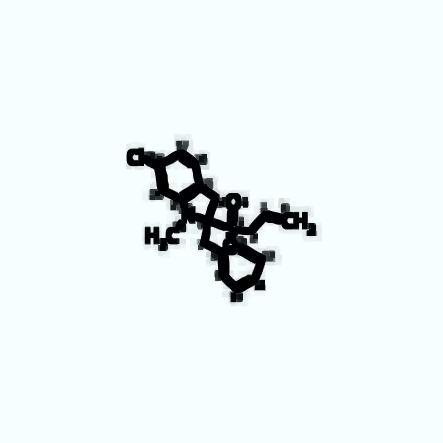 C=CCS(=O)(=O)C1(Cc2ccccc2)Cc2ccc(Cl)cc2N1C